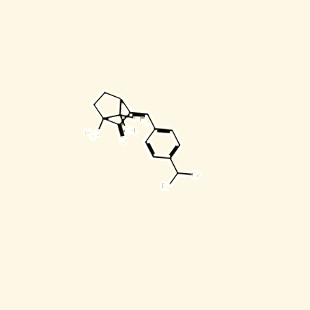 CC12CCC(/C(=C/c3ccc(C(Br)Br)cc3)C1=O)C2(C)C